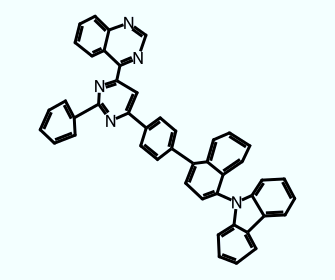 c1ccc(-c2nc(-c3ccc(-c4ccc(-n5c6ccccc6c6ccccc65)c5ccccc45)cc3)cc(-c3ncnc4ccccc34)n2)cc1